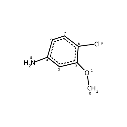 COc1cc(N)[c]cc1Cl